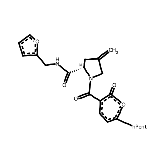 C=C1C[C@@H](C(=O)NCc2ccco2)N(C(=O)c2ccc(CCCCC)oc2=O)C1